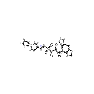 O=C(Nc1c2c(cc3c1CCC3)CCC2)NS(=O)(=O)/C=C/c1ccc(-n2cccn2)cc1